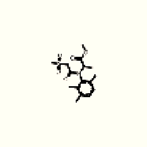 COC(=O)C(C)N(C(=O)CS(C)(=O)=O)c1c(C)ccc(C)c1C